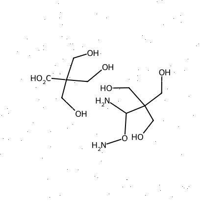 NOC(N)C(CO)(CO)CO.O=C(O)C(CO)(CO)CO